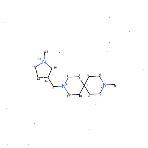 CN1CCC2(CC1)CCN(CC1CCN(C)C1)CC2